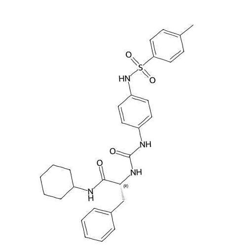 Cc1ccc(S(=O)(=O)Nc2ccc(NC(=O)N[C@H](Cc3ccccc3)C(=O)NC3CCCCC3)cc2)cc1